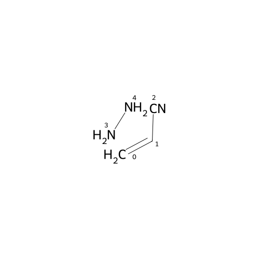 C=CC#N.NN